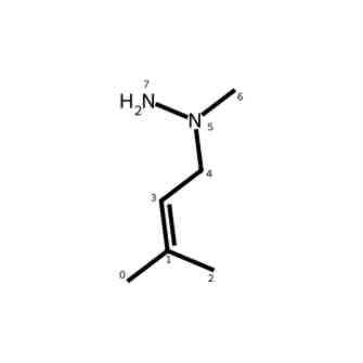 CC(C)=CCN(C)N